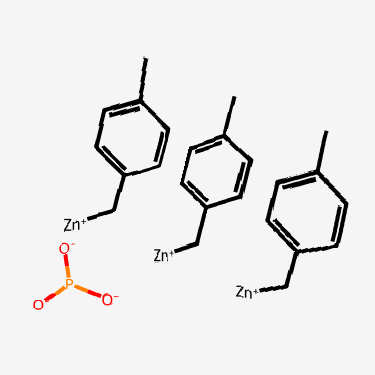 Cc1ccc([CH2][Zn+])cc1.Cc1ccc([CH2][Zn+])cc1.Cc1ccc([CH2][Zn+])cc1.[O-]P([O-])[O-]